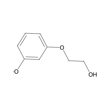 [O]c1cccc(OCCO)c1